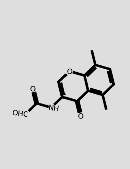 Cc1ccc(C)c2c(=O)c(NC(=O)C=O)coc12